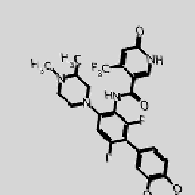 CC1CN(c2cc(F)c(-c3ccc4c(c3)OCCO4)c(F)c2NC(=O)c2c[nH]c(=O)cc2C(F)(F)F)CCN1C